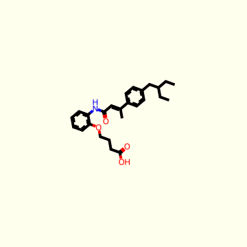 CCC(CC)Cc1ccc(/C(C)=C/C(=O)Nc2ccccc2OCCCC(=O)O)cc1